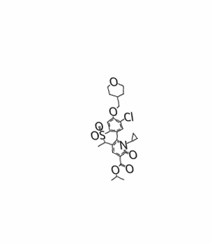 CC(C)OC(=O)c1cc2c(n(C3CC3)c1=O)-c1cc(Cl)c(OCC3CCOCC3)cc1S(=O)(=O)C2C